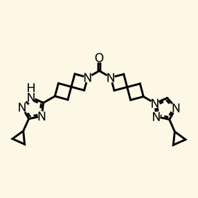 O=C(N1CC2(CC(c3nc(C4CC4)n[nH]3)C2)C1)N1CC2(CC(n3cnc(C4CC4)n3)C2)C1